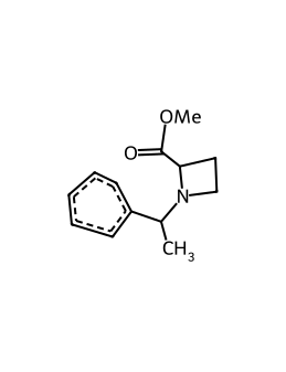 COC(=O)C1CCN1C(C)c1ccccc1